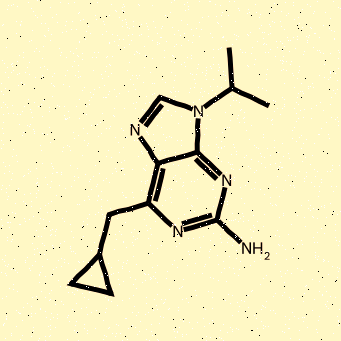 CC(C)n1cnc2c(CC3CC3)nc(N)nc21